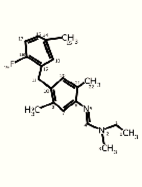 CCN(C)/C=N/c1cc(C)c(Cc2cc(C)ccc2F)cc1C